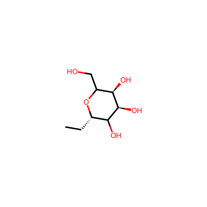 CC[C@@H]1OC(CO)[C@@H](O)[C@@H](O)C1O